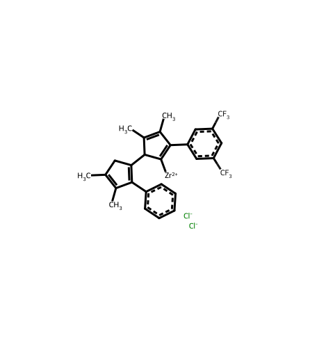 CC1=C(C)C(c2ccccc2)=C(C2C(C)=C(C)C(c3cc(C(F)(F)F)cc(C(F)(F)F)c3)=[C]2[Zr+2])C1.[Cl-].[Cl-]